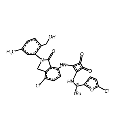 Cc1ccc(CO)c(N2Cc3c(Cl)ccc(Nc4c(N[C@@H](c5ccc(Cl)o5)C(C)(C)C)c(=O)c4=O)c3C2=O)c1